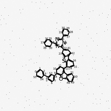 c1ccc(-c2cccc(-c3ccc(-c4cccc5c4sc4cc(-c6nc(-c7ccccc7)nc(-c7ccccc7)n6)ccc45)c4c3oc3ccccc34)c2)cc1